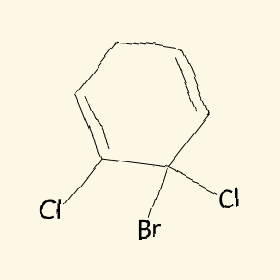 ClC1=CCC=CC1(Cl)Br